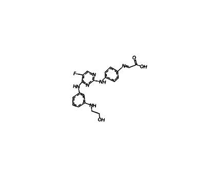 O=C(O)C=Nc1ccc(Nc2ncc(F)c(Nc3cccc(NCCO)c3)n2)cc1